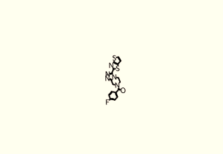 O=C(c1ccc(F)cc1)N1CCn2c(nnc2-c2nc3sccc3s2)C1